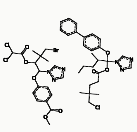 CCCC(C)C(OC(=O)CCC(C)(C)CCl)(Oc1ccc(-c2ccccc2)cc1)n1cncn1.COC(=O)c1ccc(OC(C(OC(=O)C(Cl)Cl)C(C)(C)CBr)n2cncn2)cc1